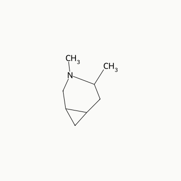 CC1CC2CC2CN1C